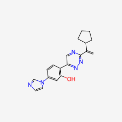 C=C(c1ncc(-c2ccc(-n3ccnc3)cc2O)nn1)C1CCCC1